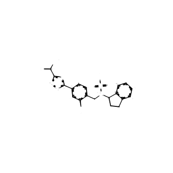 CS(=O)(=O)N(Cc1ccc(-c2nnc(C(F)F)o2)cc1F)C1CCc2ccccc21